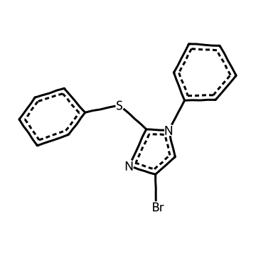 Brc1cn(-c2ccccc2)c(Sc2ccccc2)n1